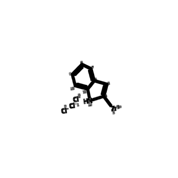 [Cl-].[Cl-].[Cl-].[Zr+3][c]1cc2ccccc2[nH]1